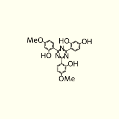 COc1ccc(-c2nc(-c3ccc(O)cc3O)nc(-c3ccc(OC)cc3O)n2)c(O)c1